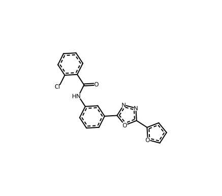 O=C(Nc1cccc(-c2nnc(-c3ccco3)o2)c1)c1ccccc1Cl